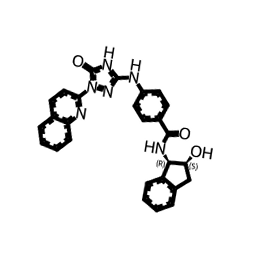 O=C(N[C@@H]1c2ccccc2C[C@@H]1O)c1ccc(Nc2nn(-c3ccc4ccccc4n3)c(=O)[nH]2)cc1